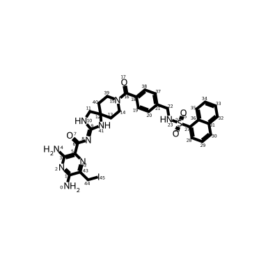 Nc1nc(N)c(C(=O)/N=C2\NCC3(CCN(C(=O)c4ccc(CNS(=O)(=O)c5cccc6ccccc56)cc4)CC3)N2)nc1CI